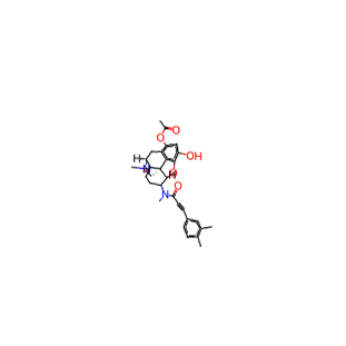 CC(=O)Oc1cc(O)c2c3c1C[C@@H]1[C@@H]4CC[C@H](N(C)C(=O)C#Cc5ccc(C)c(C)c5)[C@H](O2)[C@]34CCN1C